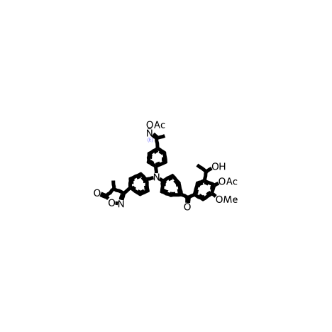 COc1cc(C(=O)c2ccc(N(c3ccc(C4=NOC(=O)C4C)cc3)c3ccc(/C(C)=N/OC(C)=O)cc3)cc2)cc(C(C)O)c1OC(C)=O